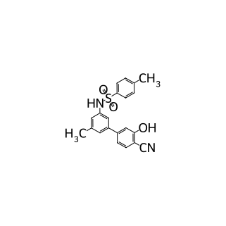 Cc1ccc(S(=O)(=O)Nc2cc(C)cc(-c3ccc(C#N)c(O)c3)c2)cc1